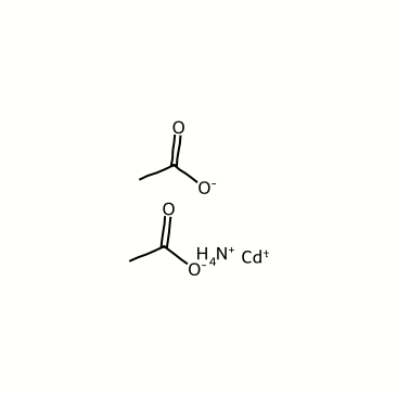 CC(=O)[O-].CC(=O)[O-].[Cd+].[NH4+]